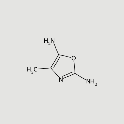 Cc1nc(N)oc1N